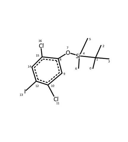 CC(C)(C)[Si](C)(C)Oc1cc(Cl)c(I)cc1Cl